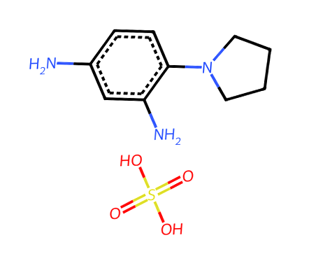 Nc1ccc(N2CCCC2)c(N)c1.O=S(=O)(O)O